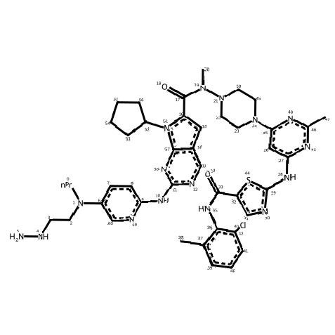 CCCN(CCNN)c1ccc(Nc2ncc3cc(C(=O)N(C)N4CCN(c5cc(Nc6ncc(C(=O)Nc7c(C)cccc7Cl)s6)nc(C)n5)CC4)n(C4CCCC4)c3n2)nc1